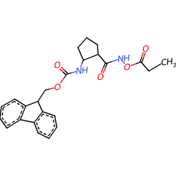 CCC(=O)ONC(=O)C1CCCC1NC(=O)OCC1c2ccccc2-c2ccccc21